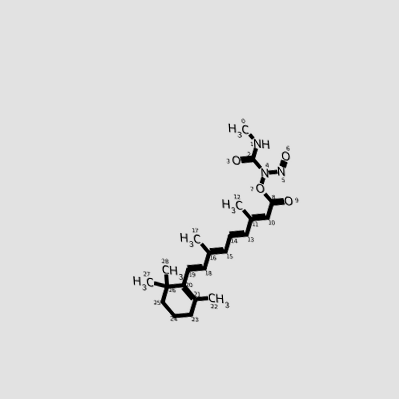 CNC(=O)N(N=O)OC(=O)/C=C(C)/C=C/C=C(C)/C=C/C1=C(C)CCCC1(C)C